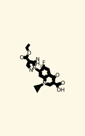 CCOC(=O)c1cnn(-c2cc3c(cc2F)c(=O)c(C(=O)O)cn3C2CC2)c1N